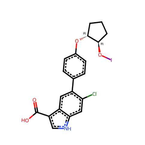 O=C(O)c1c[nH]c2cc(Cl)c(-c3ccc(O[C@@H]4CCC[C@H]4OI)cc3)cc12